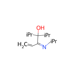 C=CC(=NC(C)C)C(O)(C(C)C)C(C)C